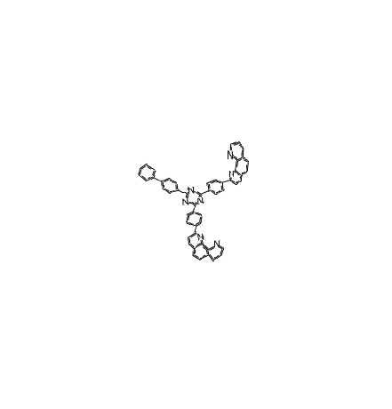 c1ccc(-c2ccc(-c3nc(-c4ccc(-c5ccc6ccc7cccnc7c6n5)cc4)nc(-c4ccc(-c5ccc6ccc7cccnc7c6n5)cc4)n3)cc2)cc1